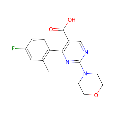 Cc1cc(F)ccc1-c1nc(N2CCOCC2)ncc1C(=O)O